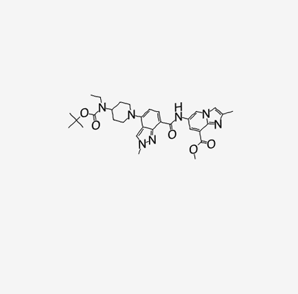 CCN(C(=O)OC(C)(C)C)C1CCN(c2ccc(C(=O)Nc3cc(C(=O)OC)c4nc(C)cn4c3)c3nn(C)cc23)CC1